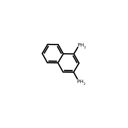 Pc1cc(P)c2ccccc2c1